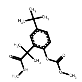 CNC(=O)C(C)(C)c1cc(C(C)(C)C)ccc1OC(=O)OC